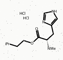 CN[C@@H](Cc1c[nH]cn1)C(=O)OCCC(C)C.Cl.Cl